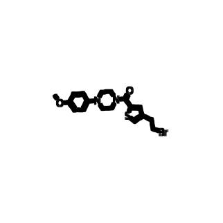 COc1ccc(N2CCN(C(=O)c3cc(CCBr)cs3)CC2)cc1